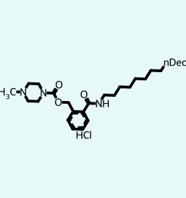 CCCCCCCCCCCCCCCCCCNC(=O)c1ccccc1COC(=O)N1CCN(C)CC1.Cl